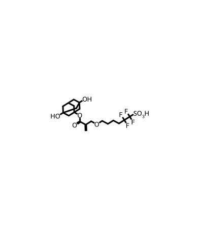 C=C(COCCCCC(F)(F)C(F)(F)S(=O)(=O)O)C(=O)OC12CC3CC(O)(CC(O)(C3)C1)C2